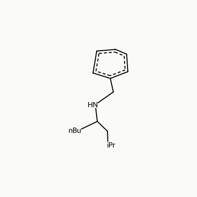 CCCCC(CC(C)C)NCc1ccccc1